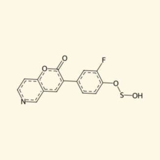 O=c1oc2ccncc2cc1-c1ccc(OSO)c(F)c1